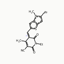 CCN1C(=O)C(C#N)=C(C)/C(=C/c2cc3c(cc(C(C)C)n3C)s2)C1=O